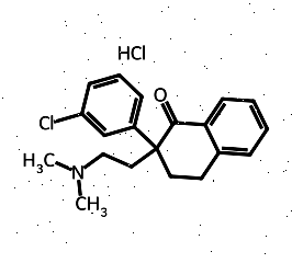 CN(C)CCC1(c2cccc(Cl)c2)CCc2ccccc2C1=O.Cl